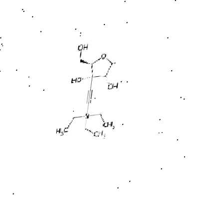 CC[Si](C#C[C@]1(O)[C@@H](O)[CH]O[C@@H]1CO)(CC)CC